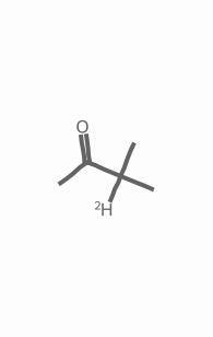 [2H]C(C)(C)C(C)=O